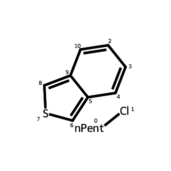 CCCCCCl.c1ccc2cscc2c1